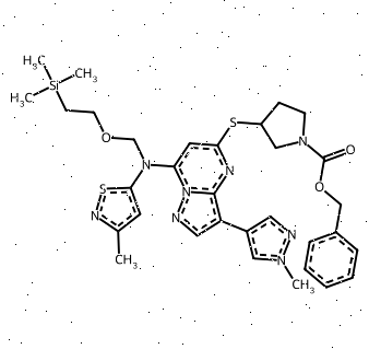 Cc1cc(N(COCC[Si](C)(C)C)c2cc(SC3CCN(C(=O)OCc4ccccc4)C3)nc3c(-c4cnn(C)c4)cnn23)sn1